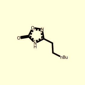 CCCCCCc1noc(=O)[nH]1